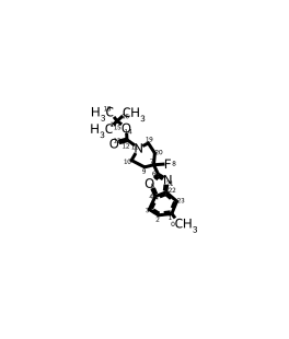 Cc1ccc2oc(C3(F)CCN(C(=O)OC(C)(C)C)CC3)nc2c1